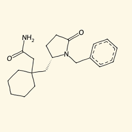 NC(=O)CC1(C[C@@H]2CCC(=O)N2Cc2ccccc2)CCCCC1